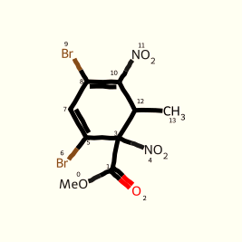 COC(=O)C1([N+](=O)[O-])C(Br)=CC(Br)=C([N+](=O)[O-])C1C